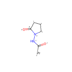 CC(C)C(=O)NN1CCCC1=O